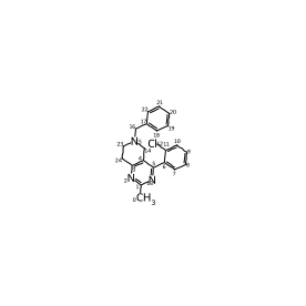 Cc1nc2c(c(-c3ccccc3Cl)n1)CN(Cc1ccccc1)CC2